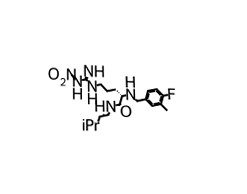 Cc1cc(CN[C@@H](CCCNC(=N)N[N+](=O)[O-])C(=O)N[CH]CC(C)C)ccc1F